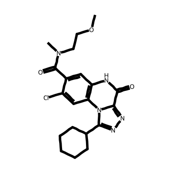 COCCN(C)C(=O)c1cc2[nH]c(=O)c3nnc(C4CCCCC4)n3c2cc1Cl